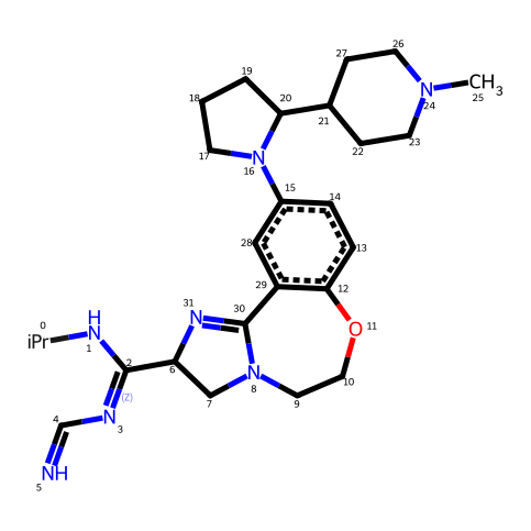 CC(C)N/C(=N\C=N)C1CN2CCOc3ccc(N4CCCC4C4CCN(C)CC4)cc3C2=N1